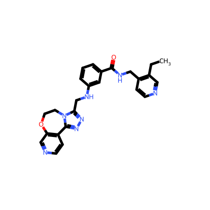 CCc1cnccc1CNC(=O)c1cccc(NCc2nnc3n2CCOc2cnccc2-3)c1